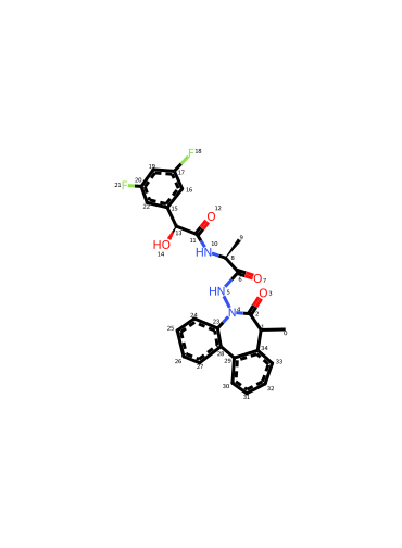 CC1C(=O)N(NC(=O)[C@H](C)NC(=O)[C@@H](O)c2cc(F)cc(F)c2)c2ccccc2-c2ccccc21